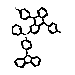 Fc1ccc(-c2c3ccccc3c(-c3ccc(F)cc3)c3cc(N(c4ccccc4)c4ccc(-n5c6ccccc6c6ccccc65)cc4)ccc23)cc1